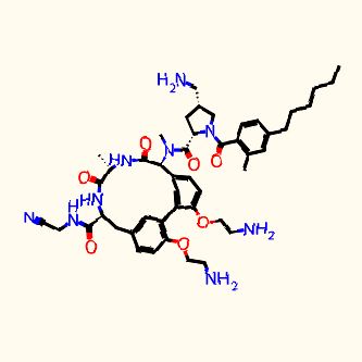 CCCCCCc1ccc(C(=O)N2C[C@@H](CN)C[C@H]2C(=O)N(C)[C@@H]2C(=O)N[C@@H](C)C(=O)N[C@H](C(=O)NCC#N)Cc3ccc(OCCN)c(c3)-c3cc2ccc3OCCN)c(C)c1